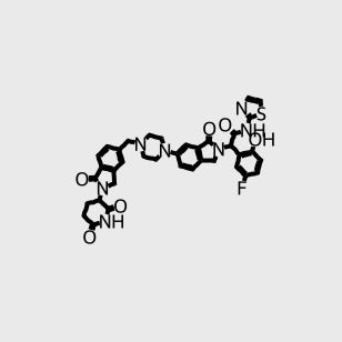 O=C1CCC(N2Cc3cc(CN4CCN(c5ccc6c(c5)C(=O)N(C(C(=O)Nc5nccs5)c5cc(F)ccc5O)C6)CC4)ccc3C2=O)C(=O)N1